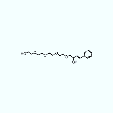 OCCOCCOCCOCCOCC(O)C=Cc1ccccc1